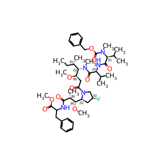 CC[C@H](C)[C@@H]([C@@H](CC(=O)N1C[C@@H](F)C[C@H]1[C@H](OC)[C@@H](C)C(=O)NC(Cc1ccccc1)C(=O)OC)OC)N(C)C(=O)[C@@H](NC(=O)[C@H](C(C)C)N(C)C(=O)OCc1ccccc1)C(C)C